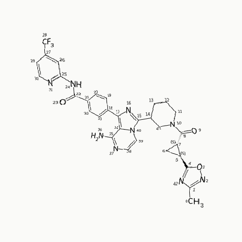 Cc1noc([C@H]2C[C@@H]2C(=O)N2CCCC(c3nc(-c4ccc(C(=O)Nc5cc(C(F)(F)F)ccn5)cc4)c4c(N)nccn34)C2)n1